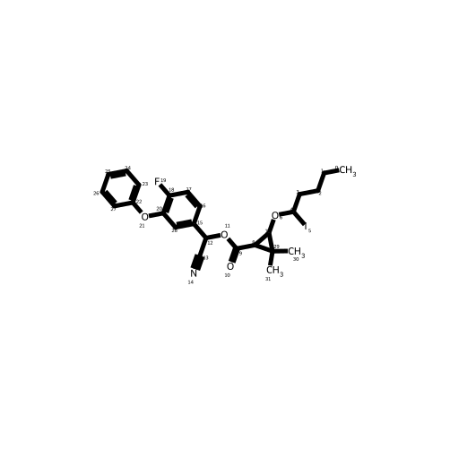 CCCCC(I)OC1C(C(=O)OC(C#N)c2ccc(F)c(Oc3ccccc3)c2)C1(C)C